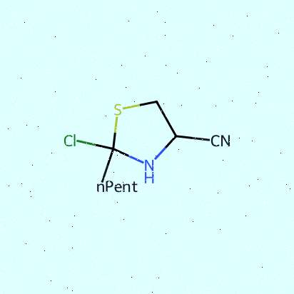 CCCCCC1(Cl)NC(C#N)CS1